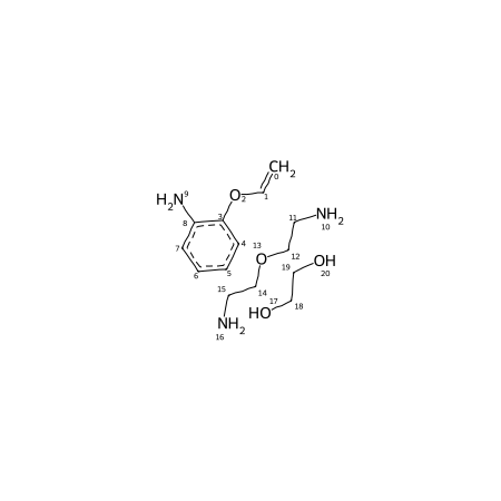 C=COc1ccccc1N.NCCOCCN.OCCO